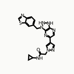 O=C(Cn1cc(-c2cnc3c(n2)N(Cc2ccc4ncsc4c2)NN3)cn1)NC1CC1